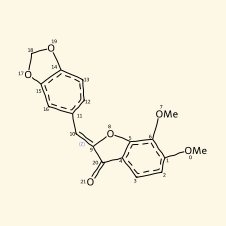 COc1ccc2c(c1OC)O/C(=C\c1ccc3c(c1)OCO3)C2=O